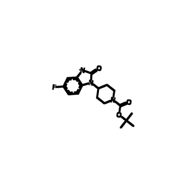 CC(C)(C)OC(=O)N1CCC(N2C(=O)[N]c3cc(F)ccc32)CC1